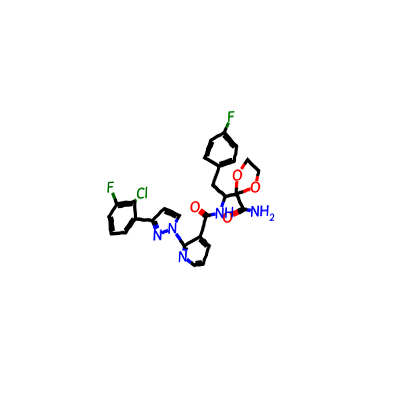 NC(=O)C1(C(Cc2ccc(F)cc2)NC(=O)c2cccnc2-n2ccc(-c3cccc(F)c3Cl)n2)OCCO1